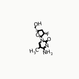 Cc1cn([C@@H]2O[C@H](CO)C[C@H]2F)c(=O)nc1N